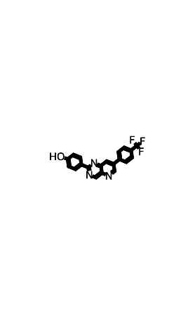 Oc1ccc(-c2ncc3ncc(-c4ccc(C(F)(F)F)cc4)cc3n2)cc1